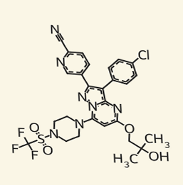 CC(C)(O)COc1cc(N2CCN(S(=O)(=O)C(F)(F)F)CC2)n2nc(-c3ccc(C#N)nc3)c(-c3ccc(Cl)cc3)c2n1